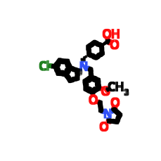 COc1cc(CN(C[C@H]2CC[C@H](C(=O)O)CC2)[C@@H]2CCc3cc(Cl)ccc32)ccc1OCCN1C(=O)CCC1=O